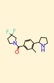 Cc1cc(C(=O)N2CCC(F)(F)C2)ccc1C1CCCN1